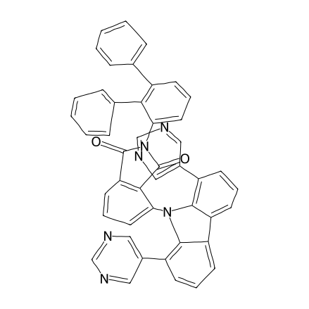 O=C1c2cccc(-n3c4c(-c5cncnc5)cccc4c4cccc(-c5cncnc5)c43)c2C(=O)N1c1cccc(-c2ccccc2)c1-c1ccccc1